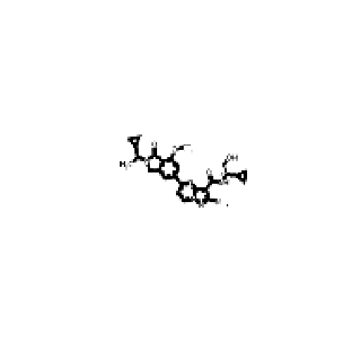 CC(C1CC1)N1Cc2cc(-c3ccn4nc(N)c(C(=O)N[C@@H](CO)C5CC5)c4n3)cc(OC(F)(F)F)c2C1=O